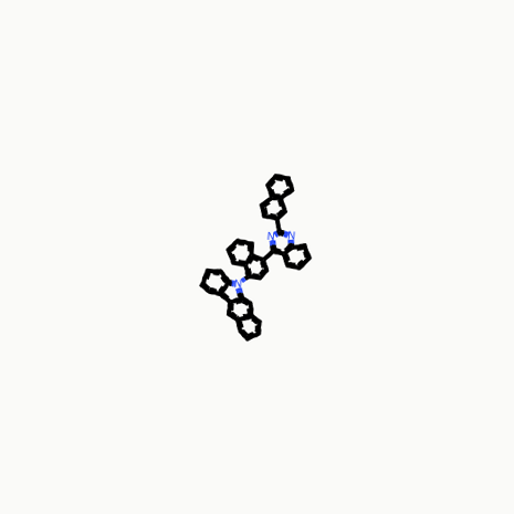 c1ccc2cc(-c3nc(-c4ccc(-n5c6ccccc6c6cc7ccccc7cc65)c5ccccc45)c4ccccc4n3)ccc2c1